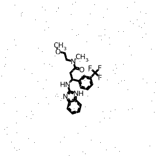 COCCN(C)C(=O)CC(Nc1nc2ccccc2[nH]1)c1cccc(C(F)(F)F)c1